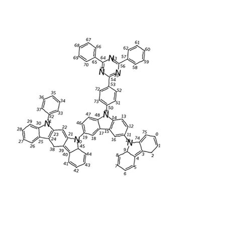 C1=CCC2=C3C=CC=CC3N(c3ccc4c(c3)c3cc(N5C6=Cc7c(c8ccccc8n7-c7ccccc7)CC6=C6C=CC=CC65)ccc3n4-c3ccc(-c4nc(-c5ccccc5)nc(-c5ccccc5)n4)cc3)C2=C1